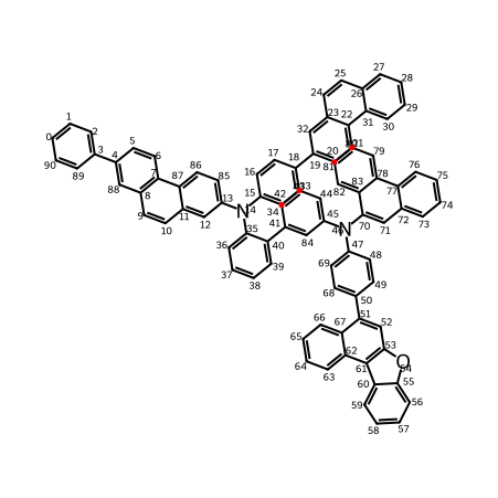 c1ccc(-c2ccc3c(ccc4cc(N(c5ccc(-c6ccc7c(ccc8ccccc87)c6)cc5)c5ccccc5-c5cccc(N(c6ccc(-c7cc8oc9ccccc9c8c8ccccc78)cc6)c6cc7ccccc7c7ccccc67)c5)ccc43)c2)cc1